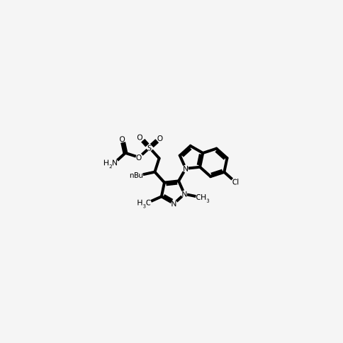 CCCCC(CS(=O)(=O)OC(N)=O)c1c(C)nn(C)c1-n1ccc2ccc(Cl)cc21